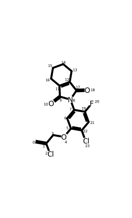 C=C(Cl)COc1cc(N2C(=O)C3=C(CCCC3)C2=O)c(F)cc1Cl